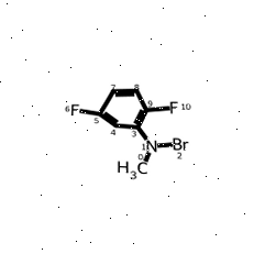 CN(Br)c1cc(F)ccc1F